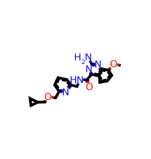 COc1cccc2c(C(=O)NCc3cccc(COCC4CC4)n3)nc(N)nc12